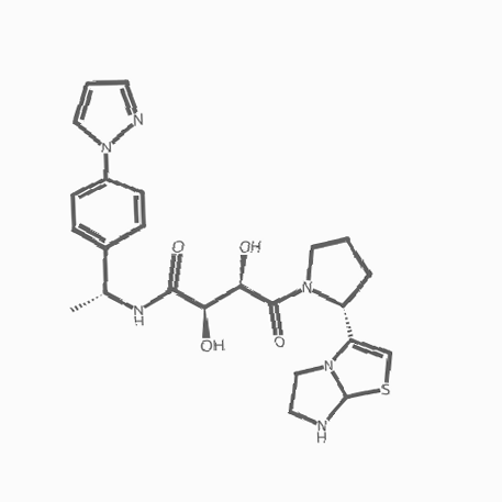 C[C@@H](NC(=O)[C@H](O)[C@@H](O)C(=O)N1CCC[C@@H]1C1=CSC2NCCN12)c1ccc(-n2cccn2)cc1